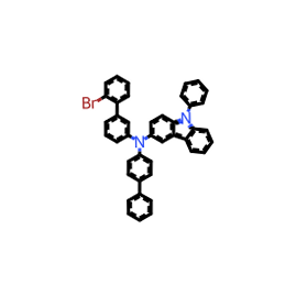 Brc1ccccc1-c1cccc(N(c2ccc(-c3ccccc3)cc2)c2ccc3c(c2)c2ccccc2n3-c2ccccc2)c1